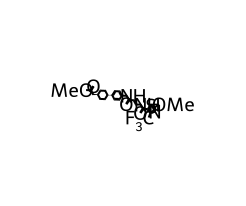 COC(=O)C[C@H]1CC[C@H](c2ccc(NC(=O)CCNC(=O)c3sc(OC)nc3C(F)(F)F)cc2)CC1